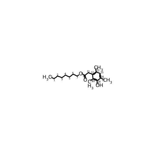 CCCCCCCCOC(=O)Cc1c(C)cc(C)c(O)c1C